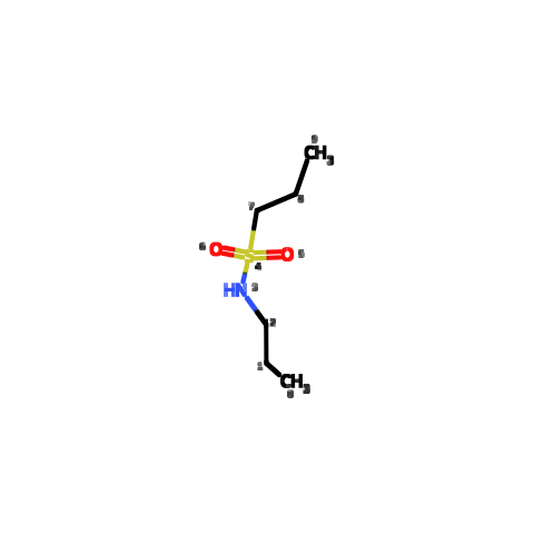 CC[CH]NS(=O)(=O)CCC